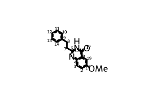 COc1ccc2nc(CCc3ccccc3)[nH]c(=O)c2c1